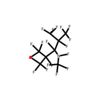 FN(C(F)(F)F)C(F)(C(F)(C(F)(F)F)C(F)(F)F)C(F)(C(F)(F)F)C(F)(F)F